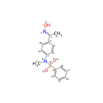 CC(=NO)c1ccc(N(C)S(=O)(=O)c2ccccc2)cc1